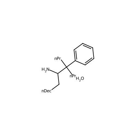 CCCCCCCCCCCC(N)C(CCC)(CCC)c1ccccc1.O